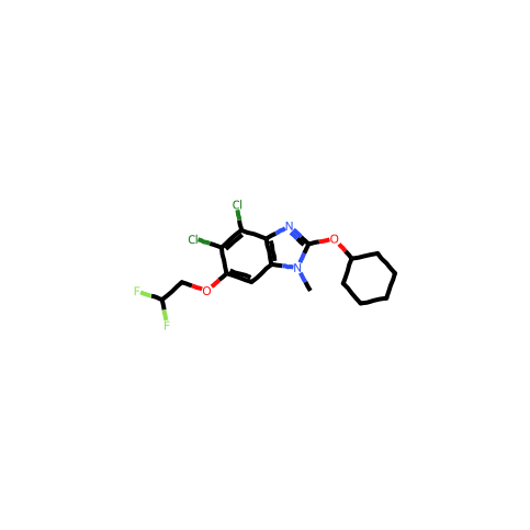 Cn1c(OC2CCCCC2)nc2c(Cl)c(Cl)c(OCC(F)F)cc21